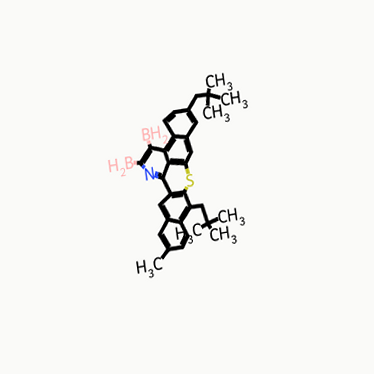 Bc1nc2c3c(cc4cc(CC(C)(C)C)ccc4c3c1B)Sc1c-2cc2cc(C)ccc2c1CC(C)(C)C